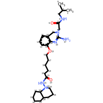 CC(C)CNC(=O)CN1Cc2cccc(OCCCCCC(=O)NN3CCCC4CCCCC43)c2N=C1N